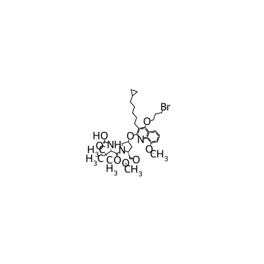 COC(=O)[C@@H]1CC(Oc2nc3c(OC)cccc3c(OCCCBr)c2CCCCCC2CC2)CN1C(=O)[C@@H](NC(=O)O)C(C)(C)C